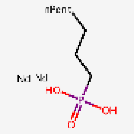 CCCCCCCCP(=O)(O)O.[Nd].[Nd]